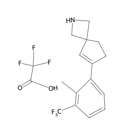 Cc1c(C2=CC3(CC2)CNC3)cccc1C(F)(F)F.O=C(O)C(F)(F)F